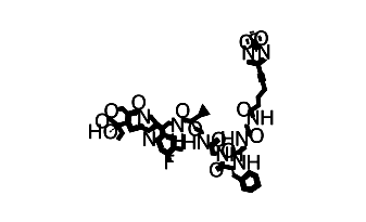 CC[C@@]1(O)C(=O)OCc2c1cc1n(c2=O)Cc2c-1nc1cc(F)c(C)cc1c2CNC(=O)[C@H](OCNC(=O)CNC(=O)[C@H](Cc1ccccc1)NC(=O)CNC(=O)CNC(=O)CCCC#Cc1cnc(S(C)(=O)=O)nc1)C1CC1